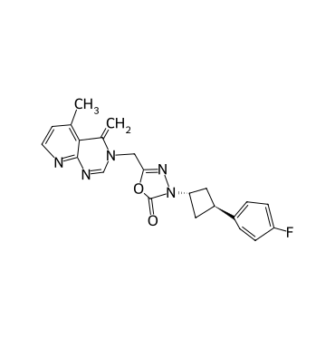 C=C1c2c(C)ccnc2N=CN1Cc1nn([C@H]2C[C@H](c3ccc(F)cc3)C2)c(=O)o1